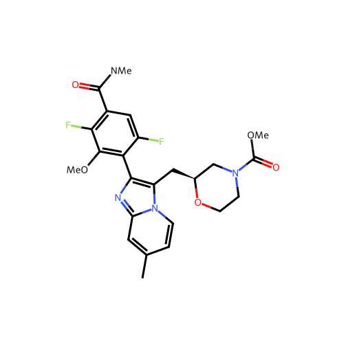 CNC(=O)c1cc(F)c(-c2nc3cc(C)ccn3c2C[C@H]2CN(C(=O)OC)CCO2)c(OC)c1F